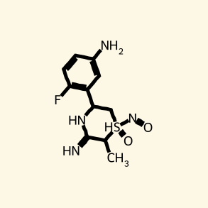 CC1C(=N)NC(c2cc(N)ccc2F)C[SH]1(=O)N=O